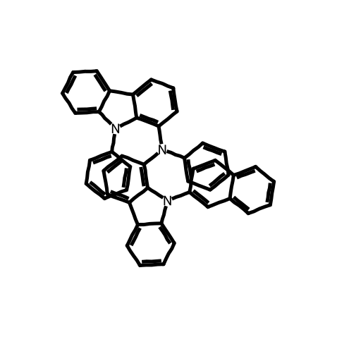 c1ccc(N(c2cccc3c4ccccc4n(-c4ccccc4)c23)c2cccc3c4ccccc4n(-c4ccc5ccccc5c4)c23)cc1